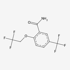 NC(=O)c1cc(C(F)(F)F)ccc1OCC(F)(F)F